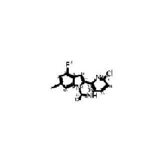 Cc1cc(F)c2cc3n(c2c1)C(C)Nc1ccc(Cl)nc1-3